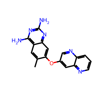 Cc1cc2c(N)nc(N)nc2cc1Oc1cnc2cccnc2c1